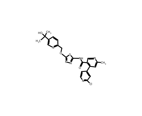 Cc1cc(-c2ccnc(Cl)c2)c(C(=O)Nc2nnc(OCc3ccc(C(C)(C)O)cn3)s2)cn1